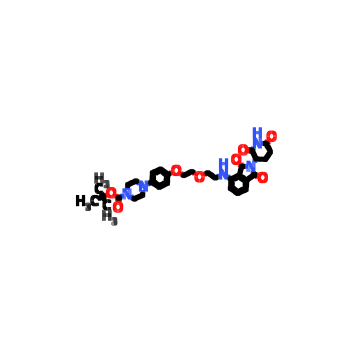 CC(C)(C)OC(=O)N1CCN(c2ccc(OCCOCCNc3cccc4c3C(=O)N(C3CCC(=O)NC3=O)C4=O)cc2)CC1